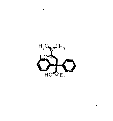 CC[C@H](O)C(C[C@@H](C)N(C)C)(c1ccccc1)c1ccccc1